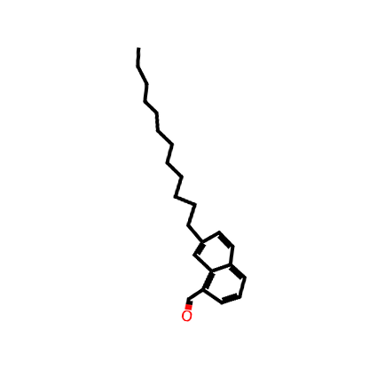 CCCCCCCCCCCCc1ccc2cccc(C=O)c2c1